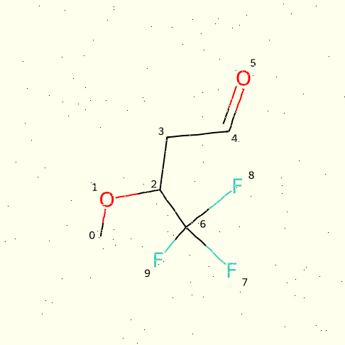 COC(CC=O)C(F)(F)F